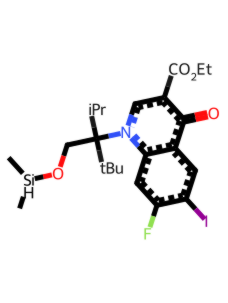 CCOC(=O)c1cn(C(CO[SiH](C)C)(C(C)C)C(C)(C)C)c2cc(F)c(I)cc2c1=O